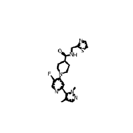 Cc1cnn(C)c1-c1cc(N2CCC(C(=O)NCc3nccs3)CC2)c(F)cn1